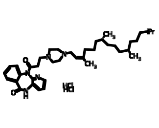 CC(=CCN1CCN(CCC(=O)N2c3ccccc3C(=O)Nc3cccnc32)CC1)CCC[C@H](C)CCC[C@H](C)CCCC(C)C.Cl.Cl